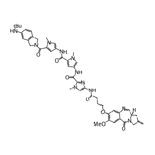 C=C1C[C@H]2C=Nc3cc(OCCCC(=O)Nc4cn(C)c(C(=O)Nc5cc(C(=O)Nc6cc(C(=O)N7Cc8ccc(NC(C)(C)C)cc8C7)n(C)c6)n(C)c5)n4)c(OC)cc3C(=O)N2C1